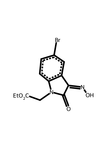 CCOC(=O)CN1C(=O)C(=NO)c2cc(Br)ccc21